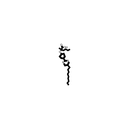 CCCCCCCCCc1cnc(-c2ccc(OC(C)(CCCC)C(=O)O)cc2)nc1